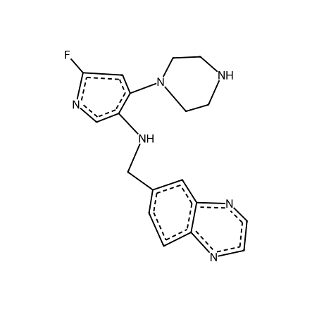 Fc1cc(N2CCNCC2)c(NCc2ccc3nccnc3c2)cn1